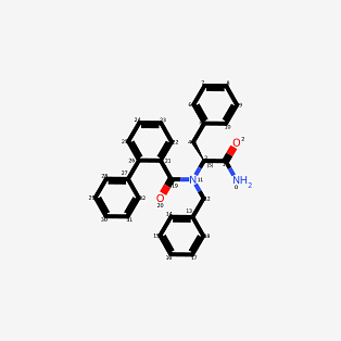 NC(=O)[C@H](Cc1ccccc1)N(Cc1ccccc1)C(=O)c1ccccc1-c1ccccc1